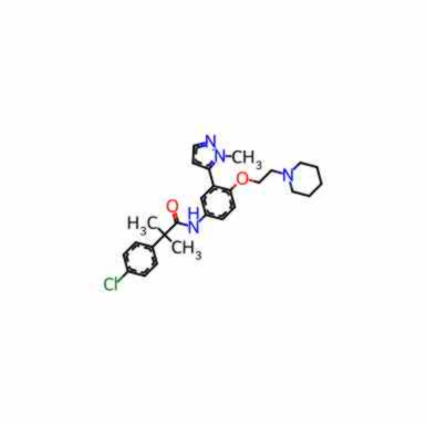 Cn1nccc1-c1cc(NC(=O)C(C)(C)c2ccc(Cl)cc2)ccc1OCCN1CCCCC1